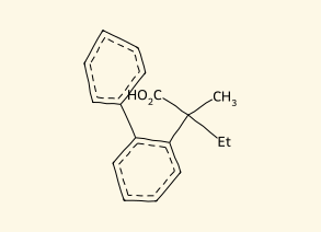 CCC(C)(C(=O)O)c1ccccc1-c1ccccc1